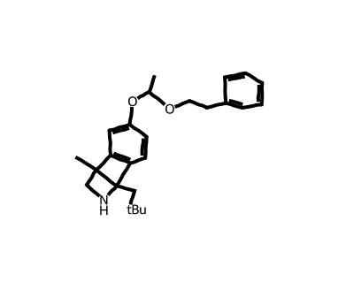 CC(OCCc1ccccc1)Oc1ccc2c(c1)C1(C)CNC21CC(C)(C)C